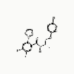 CCN(C(=O)c1cc(C)c(F)cc1-n1nccn1)[C@@H](C)COc1ccc(Cl)cn1